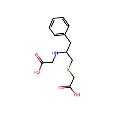 O=C(O)CNC(CSCC(=O)O)Cc1ccccc1